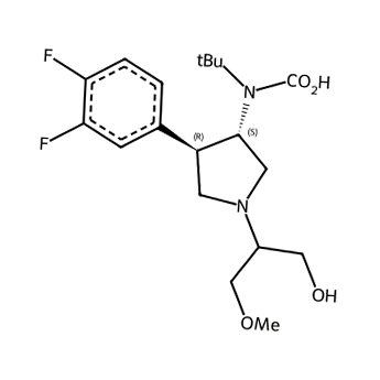 COCC(CO)N1C[C@@H](N(C(=O)O)C(C)(C)C)[C@H](c2ccc(F)c(F)c2)C1